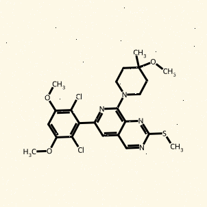 COc1cc(OC)c(Cl)c(-c2cc3cnc(SC)nc3c(N3CCC(C)(OC)CC3)n2)c1Cl